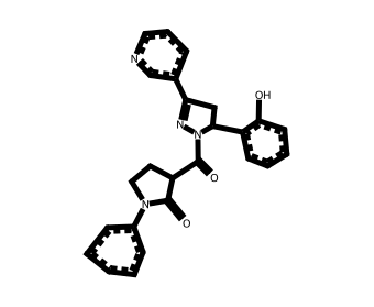 O=C1C(C(=O)N2N=C(c3cccnc3)CC2c2ccccc2O)CCN1c1ccccc1